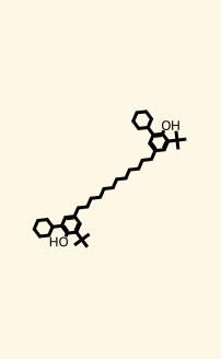 CC(C)(C)c1cc(CCCCCCCCCCCCc2cc(C3CCCCC3)c(O)c(C(C)(C)C)c2)cc(C2CCCCC2)c1O